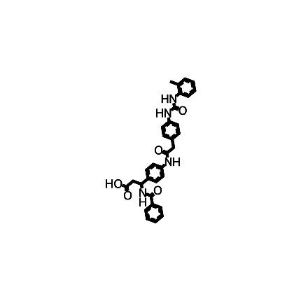 Cc1ccccc1NC(=O)Nc1ccc(CC(=O)Nc2ccc(C(CC(=O)O)NC(=O)c3ccccc3)cc2)cc1